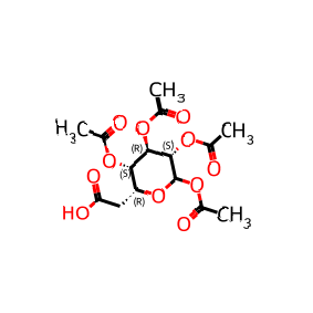 CC(=O)OC1O[C@H](CC(=O)O)[C@H](OC(C)=O)[C@@H](OC(C)=O)[C@@H]1OC(C)=O